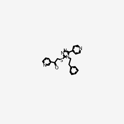 O=C(CSc1nnc(-c2ccncc2)n1CCc1ccccc1)c1cccnc1